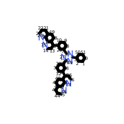 c1ccc(-c2nc(-c3cccc(-c4ccnc5c4ccc4cccnc45)c3)nc(-c3cccc(-c4ccnc5c4ccc4cccnc45)c3)n2)cc1